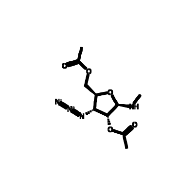 CN[C@@H]1O[C@H](COC(C)=O)[C@@H](N=[N+]=[N-])[C@H]1OC(C)=O